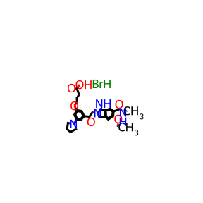 Br.CCOc1cc2c(cc1C(=O)NC)C(=N)N(CC(=O)c1cc(OCCCC(=O)O)cc(N3CCCC3)c1)C2